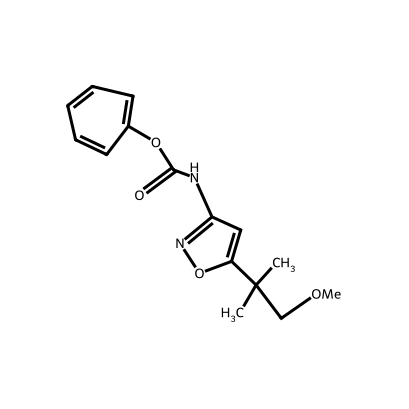 COCC(C)(C)c1cc(NC(=O)Oc2ccccc2)no1